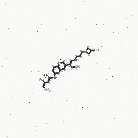 CC(C)C(=C/N)/C=C(\N)Nc1ccc2ncc(/C(C=N)=C/NCCCN3CC(O)C3)cc2n1